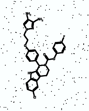 Nc1cn(CCOc2ccc(C3c4[nH]c5ccc(Cl)cc5c4CCN3C(=O)Oc3ccc(F)cc3)cc2)nc1N